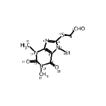 CCn1c(SCC=O)nc2c1c(=O)n(C)c(=O)n2C